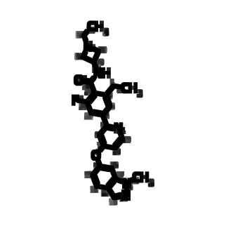 CCc1cc(-c2cc(Oc3ccc4cnn(C)c4c3)ccn2)cc(F)c1C(=O)NC1CN(CC)C1